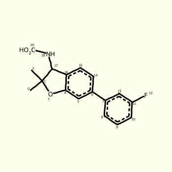 CC1(C)Oc2cc(-c3cccc(F)c3)ccc2C1NC(=O)O